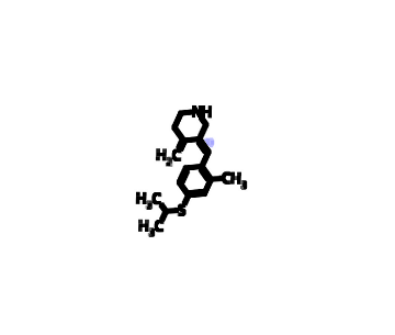 C=C1CCNC/C1=C/c1ccc(SC(C)C)cc1C